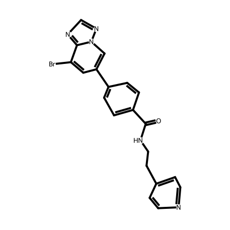 O=C(NCCc1ccncc1)c1ccc(-c2cc(Br)c3ncnn3c2)cc1